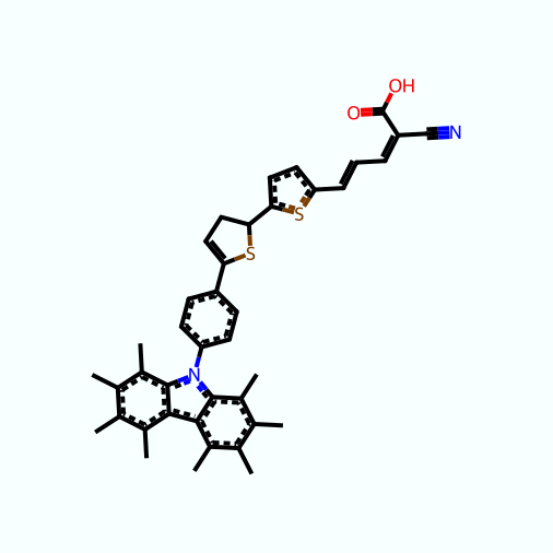 Cc1c(C)c(C)c2c(c1C)c1c(C)c(C)c(C)c(C)c1n2-c1ccc(C2=CCC(c3ccc(/C=C/C=C(/C#N)C(=O)O)s3)S2)cc1